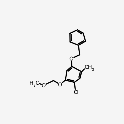 COCOc1cc(OCc2ccccc2)c(C)cc1Cl